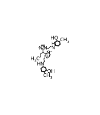 CCCC(C1=[N+]C=CN1CCNc1ccc(C)c(O)c1)C1=[N+]C=CN1CCNc1ccc(C)c(O)c1